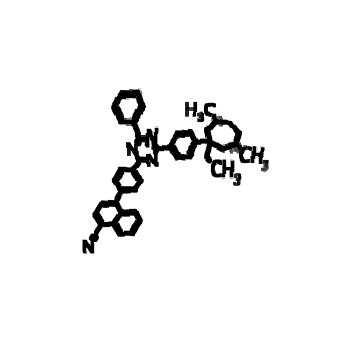 CCC1(c2ccc(-c3nc(-c4ccccc4)nc(-c4ccc(-c5ccc(C#N)c6ccccc56)cc4)n3)cc2)C[C@H](C)CC[C@H](C)C1